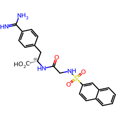 N=C(N)c1ccc(C[C@H](NC(=O)CNS(=O)(=O)c2ccc3ccccc3c2)C(=O)O)cc1